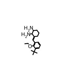 CCOc1c(C=C2CCCC(N)C2N)cccc1C(C)(C)C